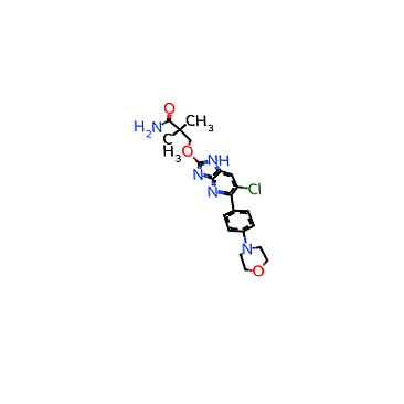 CC(C)(COc1nc2nc(-c3ccc(N4CCOCC4)cc3)c(Cl)cc2[nH]1)C(N)=O